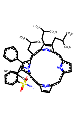 NS(=O)(=O)c1ccccc1-c1c(-c2ccccc2)c2c(CC(C(=O)O)C(=O)O)c3nc(cc4ccc(cc5nc(cc1n2CC(C(=O)O)C(=O)O)C=C5)[nH]4)C(CC(C(=O)O)C(=O)O)=C3CC(C(=O)O)C(=O)O